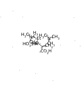 C=C(CCC)C(=O)O.CCOS(=O)(=O)O.CN(C)C.CN(C)C